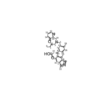 CC[C@@H]1CN(Cc2cc([C@@H](CC(=O)O)c3ccc4c(nnn4C)c3C)ccc2C)Cc2ncccc2O1